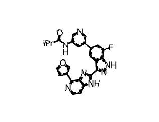 CC(C)C(=O)Nc1cncc(-c2cc(F)c3[nH]nc(-c4nc5c(-c6ccoc6)nccc5[nH]4)c3c2)c1